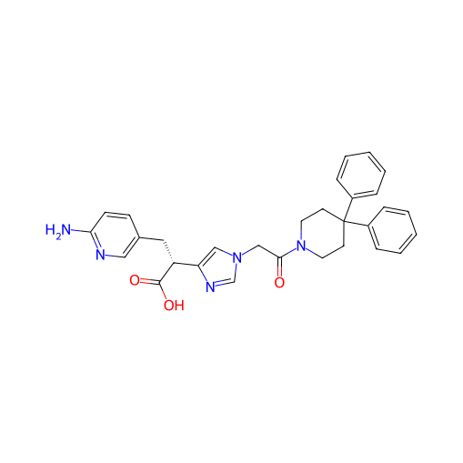 Nc1ccc(C[C@@H](C(=O)O)c2cn(CC(=O)N3CCC(c4ccccc4)(c4ccccc4)CC3)cn2)cn1